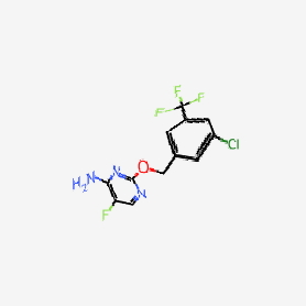 Nc1nc(OCc2cc(Cl)cc(C(F)(F)F)c2)ncc1F